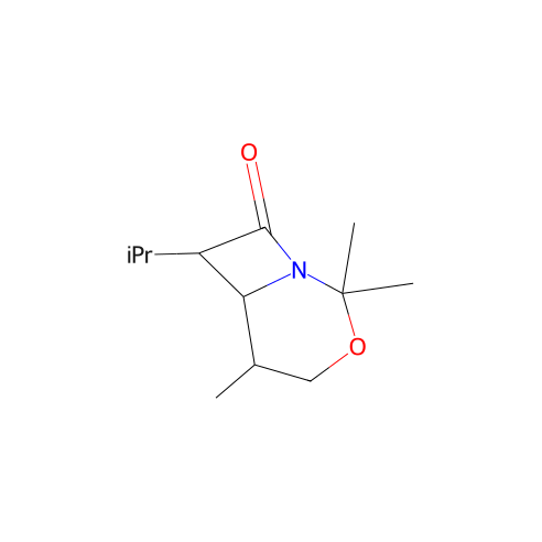 CC(C)C1C(=O)N2C1C(C)COC2(C)C